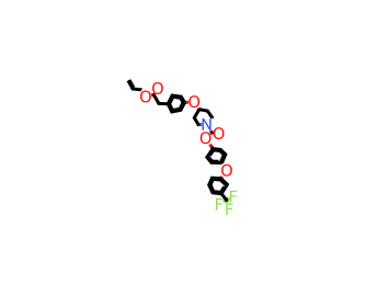 C=CCOC(=O)Cc1ccc(OC2CCN(C(=O)Oc3ccc(Oc4cccc(C(F)(F)F)c4)cc3)CC2)cc1